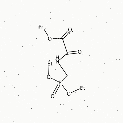 CCOP(=O)(CNC(=O)C(=O)OC(C)C)OCC